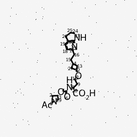 CC(=O)N1CC(OC(=O)N[C@@H](CCOC2CC(CCc3ccc4c(n3)NCCC4)C2)C(=O)O)C1